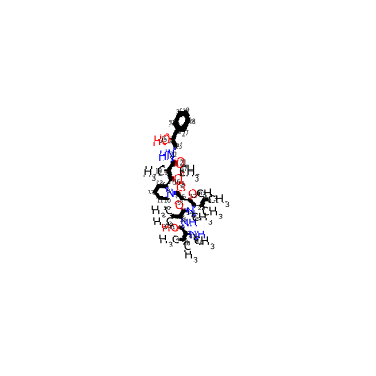 CCC(C)[C@@H]([C@@H](CC(=O)N1CCCC[C@H]1C(OC)[C@@H](C)C(=O)NC[C@@H](O)c1ccccc1)OC)N(C)C(=O)[C@@H](NC(O)[C@@H](NC)C(C)C)C(C)C